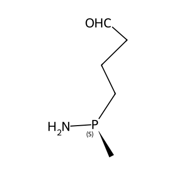 C[P@@](N)CCCC=O